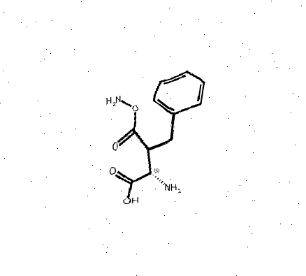 NOC(=O)C(Cc1ccccc1)[C@H](N)C(=O)O